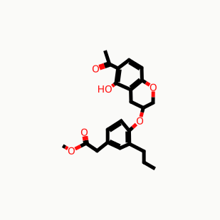 CCCc1cc(CC(=O)OC)ccc1OC1COc2ccc(C(C)=O)c(O)c2C1